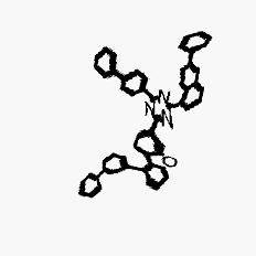 c1ccc(-c2ccc(-c3nc(-c4ccc5c(c4)oc4cccc(-c6cccc(-c7ccccc7)c6)c45)nc(-c4cccc5cc(-c6ccccc6)ccc45)n3)cc2)cc1